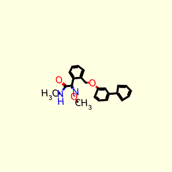 CNC(=O)C(=NOC)c1ccccc1COc1cccc(-c2ccccc2)c1